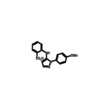 COc1ccc(-n2nccc2Nc2ccccc2C(=O)O)cc1